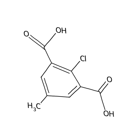 Cc1cc(C(=O)O)c(Cl)c(C(=O)O)c1